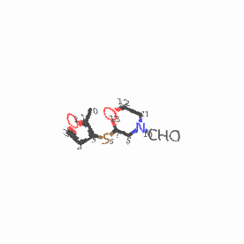 Cc1occc1SC1CN(C=O)CCO1